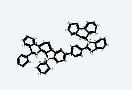 c1ccc(-c2nc3c(ccc4c5cc(-c6ccc(-c7nc8ccccc8n7-c7cc8ccccc8c8ccccc78)cc6)ccc5n(-c5ccccc5)c43)c3ccccc23)cc1